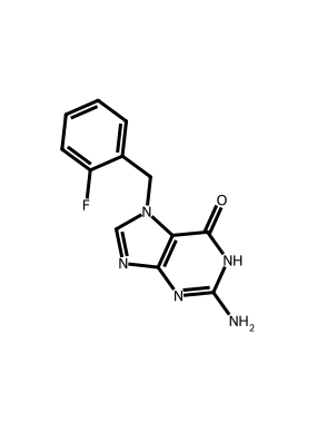 Nc1nc2ncn(Cc3ccccc3F)c2c(=O)[nH]1